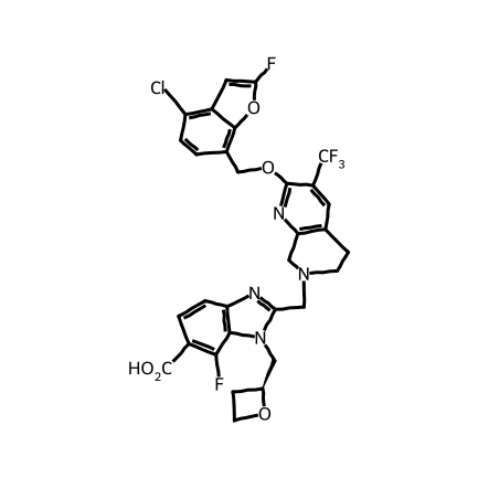 O=C(O)c1ccc2nc(CN3CCc4cc(C(F)(F)F)c(OCc5ccc(Cl)c6cc(F)oc56)nc4C3)n(C[C@@H]3CCO3)c2c1F